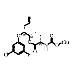 C=CC[C@@H](Oc1cc(F)cc(Cl)c1)[C@H](C)OC(=O)[C@H](C)NC(=O)OC(C)(C)C